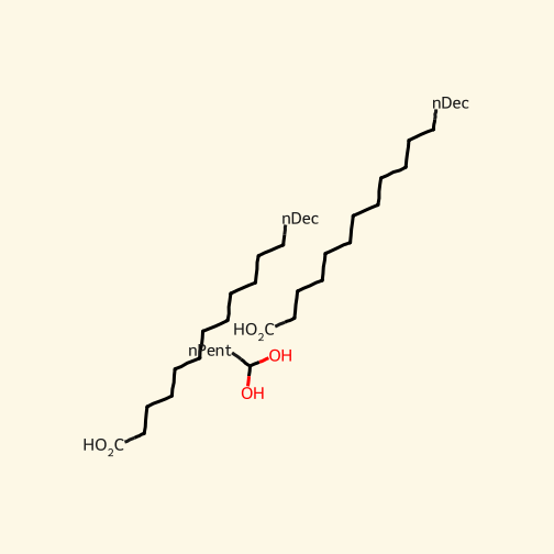 CCCCCC(O)O.CCCCCCCCCCCCCCCCCCCCCC(=O)O.CCCCCCCCCCCCCCCCCCCCCC(=O)O